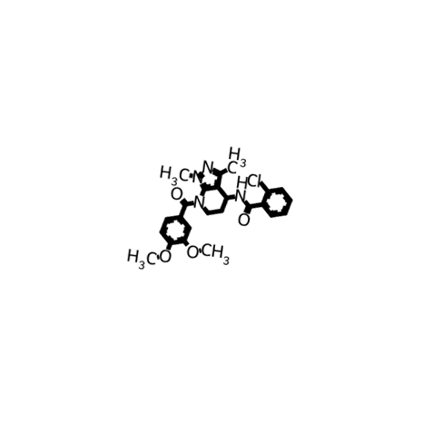 COc1ccc(C(=O)N2CCC(NC(=O)c3ccccc3Cl)c3c(C)nn(C)c32)cc1OC